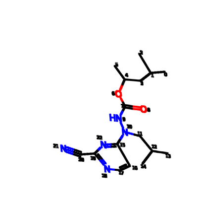 CC(C)CC(C)OC(=O)NN(CC(C)C)c1ccnc(C#N)n1